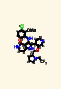 COc1c(Cl)cccc1Nc1c(-c2ccncc2OC[C@@H]2CCCN2CC(F)(F)F)[nH]c2c1C(=O)NCC2